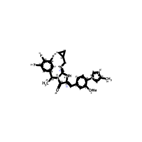 COc1cc(/C=C2\N/C(=N\CC3CC3)N(C(C)c3cc(F)c(F)c(F)c3)C2=O)ccc1-n1cnc(C)c1